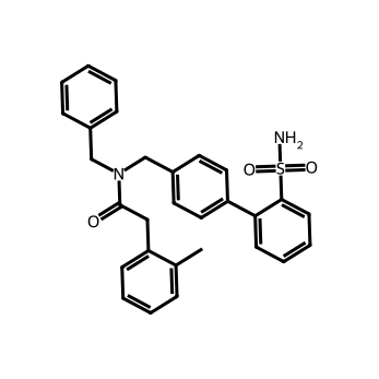 Cc1ccccc1CC(=O)N(Cc1ccccc1)Cc1ccc(-c2ccccc2S(N)(=O)=O)cc1